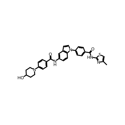 Cc1csc(NC(=O)c2ccc(-n3ccc4cc(NC(=O)c5ccc(N6CCC(O)CC6)cc5)ccc43)cc2)n1